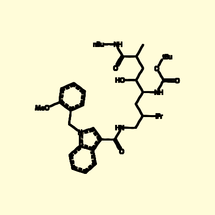 CCCCNC(=O)C(C)CC(O)C(CC(CNC(=O)c1cn(Cc2ccccc2OC)c2ccccc12)C(C)C)NC(=O)OC(C)(C)C